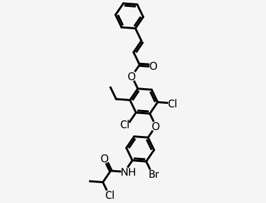 CCc1c(OC(=O)C=Cc2ccccc2)cc(Cl)c(Oc2ccc(NC(=O)C(C)Cl)c(Br)c2)c1Cl